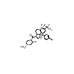 C[C@H]1C[C@H](C(=O)O)CC[C@H]1C(=O)N1CCC2(S(=O)(=O)c3ccc(F)cc3)c3ccc(C(F)(C(F)(F)F)C(F)(F)F)nc3CCC12